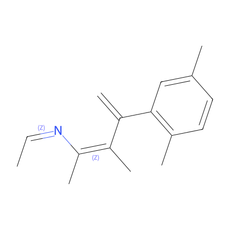 C=C(/C(C)=C(C)\N=C/C)c1cc(C)ccc1C